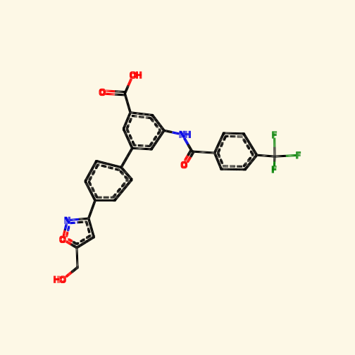 O=C(O)c1cc(NC(=O)c2ccc(C(F)(F)F)cc2)cc(-c2ccc(-c3cc(CO)on3)cc2)c1